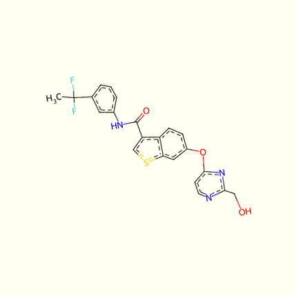 CC(F)(F)c1cccc(NC(=O)c2csc3cc(Oc4ccnc(CO)n4)ccc23)c1